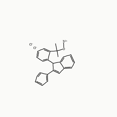 CC(C)([O][Ti+2])c1ccccc1C1C(c2ccccc2)=Cc2ccccc21.[Cl-].[Cl-]